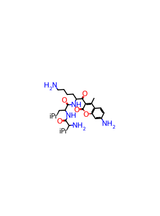 Cc1c(C(=O)C(CCCCN)NC(=O)C(CC(C)C)NC(=O)C(N)C(C)C)c(=O)oc2cc(N)ccc12